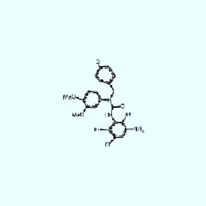 CCc1c(N)cc(Cl)c(CC)c1NC(=O)N(Cc1ccc(Cl)cc1)c1ccc(OC)c(OC)c1